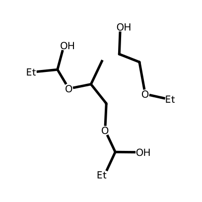 CCC(O)OCC(C)OC(O)CC.CCOCCO